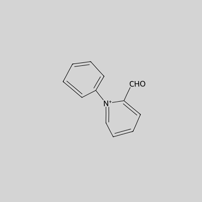 O=Cc1cccc[n+]1-c1ccccc1